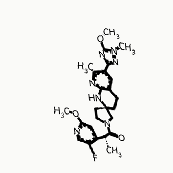 COc1cc([C@@H](C)C(=O)N2CC[C@@]3(CCc4cc(-c5nc(OC)n(C)n5)c(C)nc4N3)C2)c(F)cn1